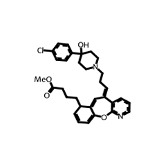 COC(=O)CCCC1C=CC=C2Oc3ncccc3C(=CCCN3CCC(O)(c4ccc(Cl)cc4)CC3)C=C21